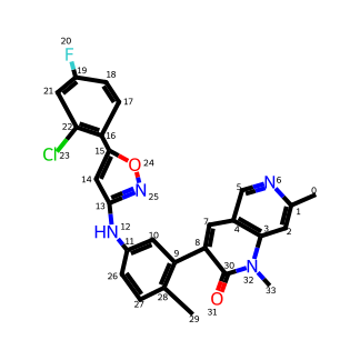 Cc1cc2c(cn1)cc(-c1cc(Nc3cc(-c4ccc(F)cc4Cl)on3)ccc1C)c(=O)n2C